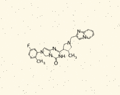 Cc1ccc(F)cc1N1C=C2N=C(C3CN(Cc4cn5ccccc5n4)CC3C)NC(=O)N2C1